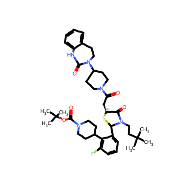 CC(C)(C)CCN1C(=O)[C@H](CC(=O)N2CCC(N3CCc4ccccc4NC3=O)CC2)SC1c1cccc(F)c1C1CCN(C(=O)OC(C)(C)C)CC1